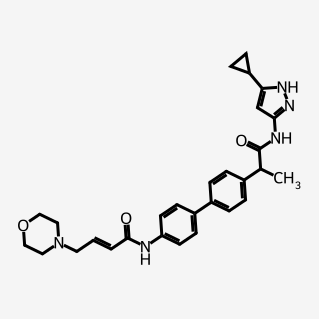 CC(C(=O)Nc1cc(C2CC2)[nH]n1)c1ccc(-c2ccc(NC(=O)/C=C/CN3CCOCC3)cc2)cc1